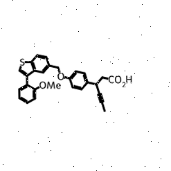 CC#CC(CC(=O)O)c1ccc(OCc2ccc3scc(-c4ccccc4OC)c3c2)cc1